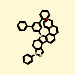 c1ccc(-c2cc(-c3ccccc3)cc(-n3c4c(c5ccc6ccc7ccccc7c6c53)-c3cnn(-c5ccccc5)c3CC4)c2)cc1